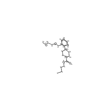 CCCCOC(=O)N1CCN(c2ncncc2COCCOC)CC1